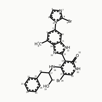 Cc1cc(-n2ccnc2Br)cc2[nH]c(-c3c(NC(CO)Cc4ccccc4)c(Br)c[nH]c3=O)nc12